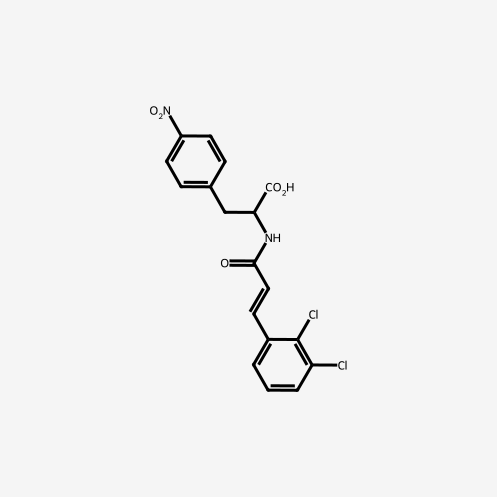 O=C(C=Cc1cccc(Cl)c1Cl)NC(Cc1ccc([N+](=O)[O-])cc1)C(=O)O